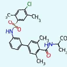 Cc1cc(S(=O)(=O)Nc2cccc(-c3cc(C)c(C(=O)NC(C)C(=O)O)c(C)c3)c2)c(C)cc1Cl